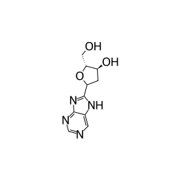 OC[C@H]1OC(c2nc3ncncc3[nH]2)C[C@@H]1O